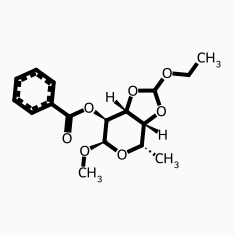 CCOC1O[C@H]2[C@H](OC(=O)c3ccccc3)[C@H](OC)O[C@@H](C)[C@H]2O1